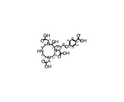 O=C(O)CN1CCNCCN(CC(=O)O)C(O)C(CCCOc2ccc(C(=O)O)cc2)N(CC(=O)O)CC1